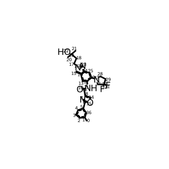 Cc1cccc(-c2nc(C(=O)Nc3cc4cn(CCC(C)(C)O)nc4cc3N3CCC(F)(F)C3)co2)c1